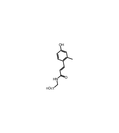 CCCCCCCCCNC(=O)/C=C/c1ccc(O)cc1C